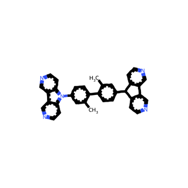 Cc1cc(C2c3ccncc3-c3cnccc32)ccc1-c1ccc(-n2c3ccncc3c3cnccc32)cc1C